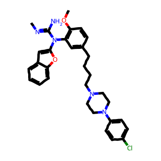 CN=C(N)N(c1cc2ccccc2o1)c1cc(CCCCN2CCN(c3ccc(Cl)cc3)CC2)ccc1OC